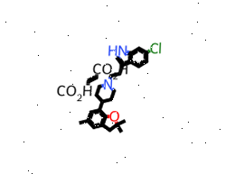 Cc1cc2c(c(C3CCN(CCc4c[nH]c5cc(Cl)ccc45)CC3)c1)OC(C)(C)C2.O=C(O)C=CC(=O)O